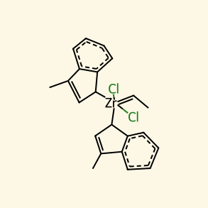 C[CH]=[Zr]([Cl])([Cl])([CH]1C=C(C)c2ccccc21)[CH]1C=C(C)c2ccccc21